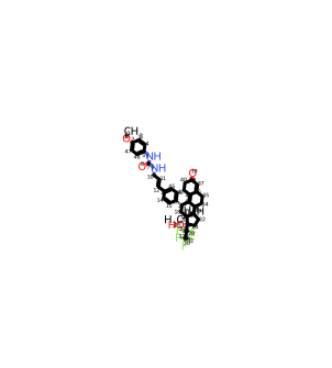 COc1ccc(NC(=O)NCC=Cc2ccc([C@H]3C[C@@]4(C)[C@@H](CC[C@@]4(O)C(F)(F)C(F)(F)F)[C@@H]4CCC5=CC(=O)CCC5=C43)cc2)cc1